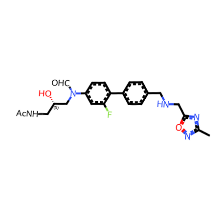 CC(=O)NC[C@H](O)CN(C=O)c1ccc(-c2ccc(CNCc3nc(C)no3)cc2)c(F)c1